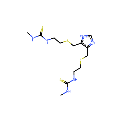 CNC(=S)NCCSCc1nc[nH]c1CSCCNC(=S)NC